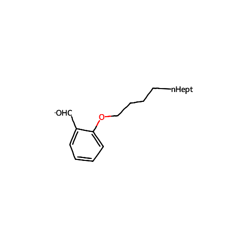 CCCCCCCCCCCOc1ccccc1[C]=O